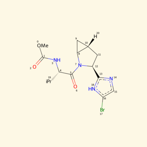 COC(=O)N[C@H](C(=O)N1C2C[C@@H]2C[C@H]1c1ncc(Br)[nH]1)C(C)C